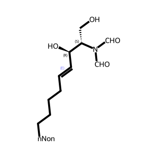 CCCCCCCCCCCCC/C=C/[C@@H](O)[C@H](CO)N(C=O)C=O